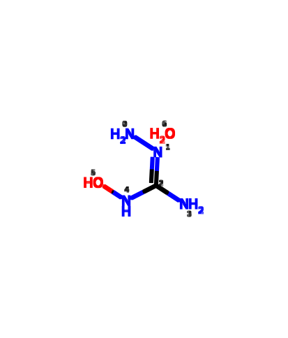 NN=C(N)NO.O